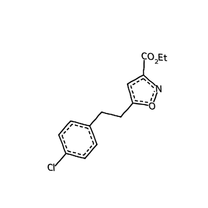 CCOC(=O)c1cc(CCc2ccc(Cl)cc2)on1